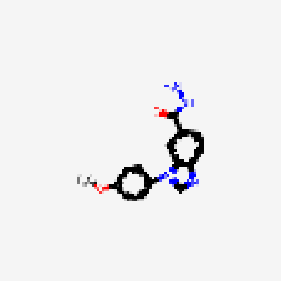 NNC(=O)c1ccc2ncn(-c3ccc(OC(F)(F)F)cc3)c2c1